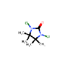 CC1(C)N(Cl)C(=O)N(Cl)C1(C)C